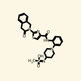 CS(=O)(O)=NC1CCN(c2ccccc2NC(=O)c2csc(N3Cc4ccccc4CC3=O)n2)CC1